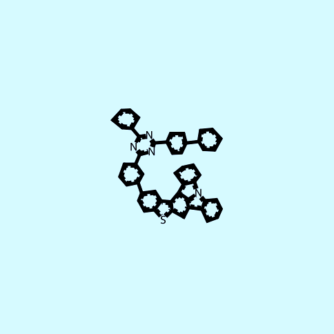 c1ccc(-c2ccc(-c3nc(-c4ccccc4)nc(-c4cccc(-c5ccc6sc7cc8c9ccccc9n9c%10ccccc%10c(c7c6c5)c89)c4)n3)cc2)cc1